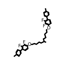 Cc1ccc(-c2ccc(OCCCCCC(C)CCCCCOc3ccc(-c4ccc(C)cc4)c(F)c3F)c(F)c2F)cc1